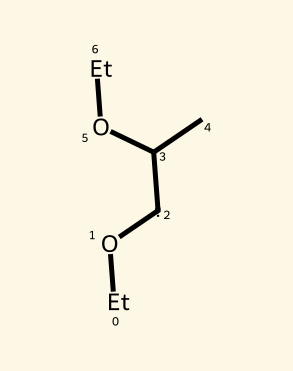 CCO[CH]C(C)OCC